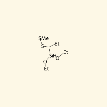 CCO[SiH](OCC)C(CC)SSC